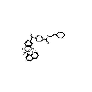 O=C(OCCC1CCCCC1)N1CCN(C(=O)c2ccc(NS(=O)(=O)c3cccc4cccnc34)c(C(F)(F)F)c2)CC1